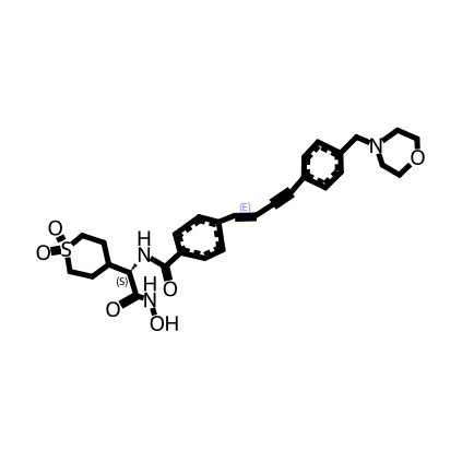 O=C(N[C@H](C(=O)NO)C1CCS(=O)(=O)CC1)c1ccc(/C=C/C#Cc2ccc(CN3CCOCC3)cc2)cc1